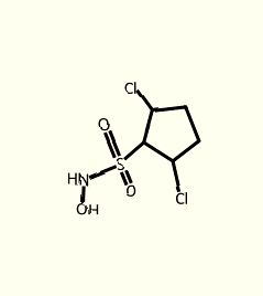 O=S(=O)(NO)C1C(Cl)CCC1Cl